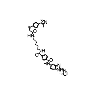 Cc1ncsc1-c1ccc([C@@H](C)CC(=O)NCCCCCCNC(=O)c2ccc(C(=O)Nc3ccc4[nH]c(CN5CCC[C@@H]5C)nc4c3)cc2)cc1